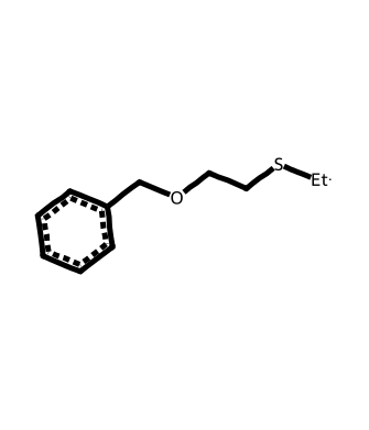 C[CH]SCCOCc1ccccc1